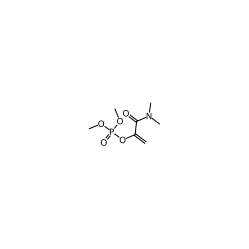 C=C(OP(=O)(OC)OC)C(=O)N(C)C